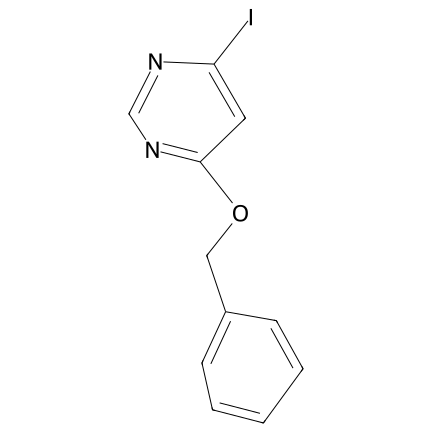 Ic1cc(OCc2ccccc2)ncn1